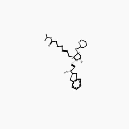 CC(C)OC(=O)CCCC=CC[C@@H]1[C@@H](C=C[C@@H](O)C2Cc3ccccc3C2)[C@@H](F)C[C@@H]1OC1CCCCO1